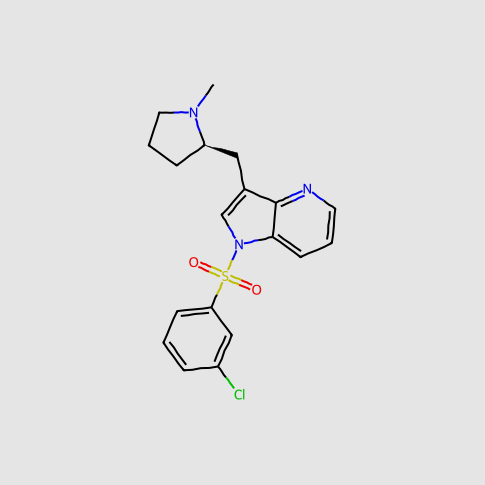 CN1CCC[C@@H]1Cc1cn(S(=O)(=O)c2cccc(Cl)c2)c2cccnc12